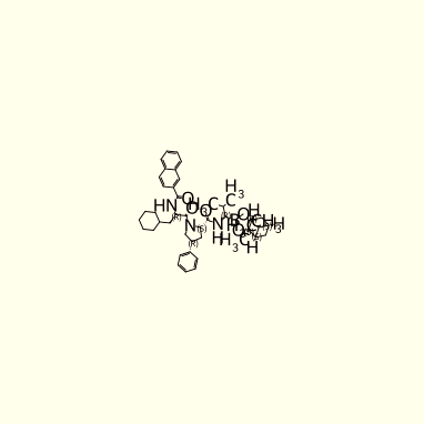 CC(C)[C@H](NC(=O)[C@@H]1C[C@H](c2ccccc2)CN1C(=O)[C@@H](CC1CCCCC1)NC(=O)c1ccc2ccccc2c1)B1O[C@@H]2C[C@@H]3C[C@@H](C3(C)C)[C@]2(C)O1